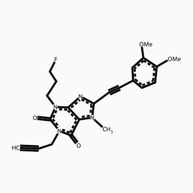 C#CCn1c(=O)c2c(nc(C#Cc3ccc(OC)c(OC)c3)n2C)n(CCCF)c1=O